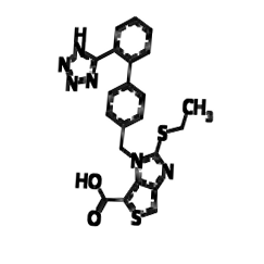 CCSc1nc2csc(C(=O)O)c2n1Cc1ccc(-c2ccccc2-c2nnn[nH]2)cc1